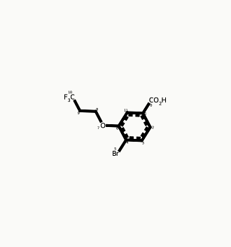 O=C(O)c1ccc(Br)c(OCCC(F)(F)F)c1